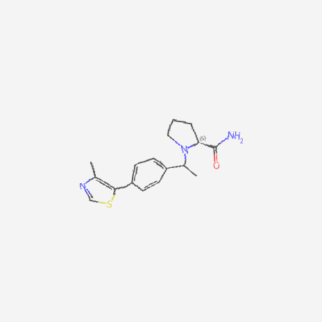 Cc1ncsc1-c1ccc(C(C)N2CCC[C@H]2C(N)=O)cc1